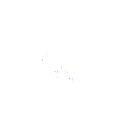 Cc1cn([C@H]2CO[C@@H](COCc3ccccc3)[C@@H]2COCc2ccccc2)c(=O)nc1N